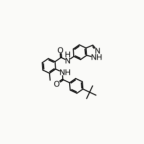 Cc1cccc(C(=O)Nc2ccc3cn[nH]c3c2)c1NC(=O)c1ccc(C(C)(C)C)cc1